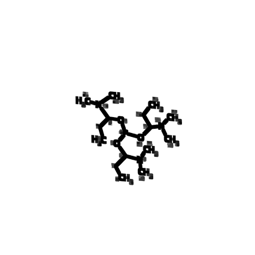 CCC(OP(OC(CC)N(C)C)OC(CC)N(C)C)N(C)C